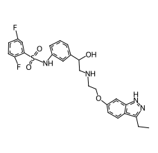 CCc1n[nH]c2cc(OCCNCC(O)c3cccc(NS(=O)(=O)c4cc(F)ccc4F)c3)ccc12